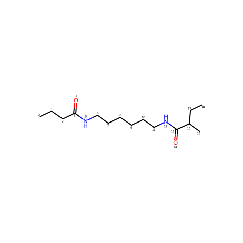 CCCC(=O)NCCCCCCNC(=O)C(C)CC